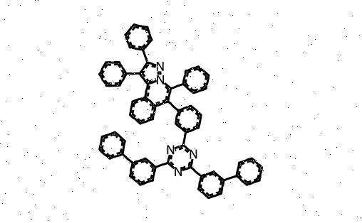 c1ccc(-c2cccc(-c3nc(-c4cccc(-c5ccccc5)c4)nc(-c4cccc(-c5c(-c6ccccc6)n6nc(-c7ccccc7)c(-c7ccccc7)c6c6ccccc56)c4)n3)c2)cc1